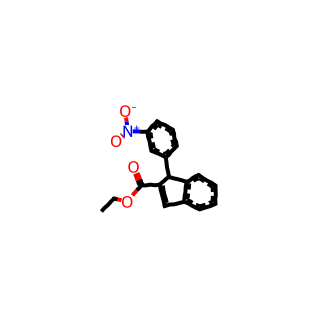 CCOC(=O)C1=Cc2ccccc2C1c1cccc([N+](=O)[O-])c1